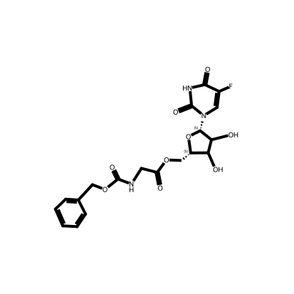 O=C(CNC(=O)OCc1ccccc1)OC[C@@H]1O[C@H](n2cc(F)c(=O)[nH]c2=O)C(O)C1O